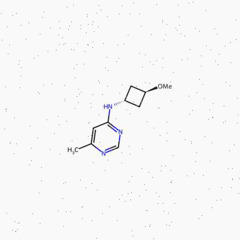 CO[C@H]1C[C@H](Nc2cc(C)ncn2)C1